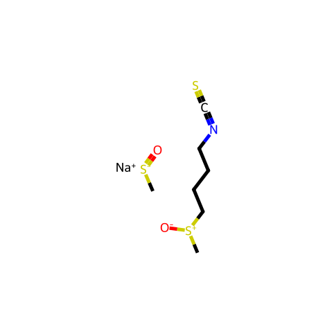 C[S+]([O-])CCCCN=C=S.C[S-]=O.[Na+]